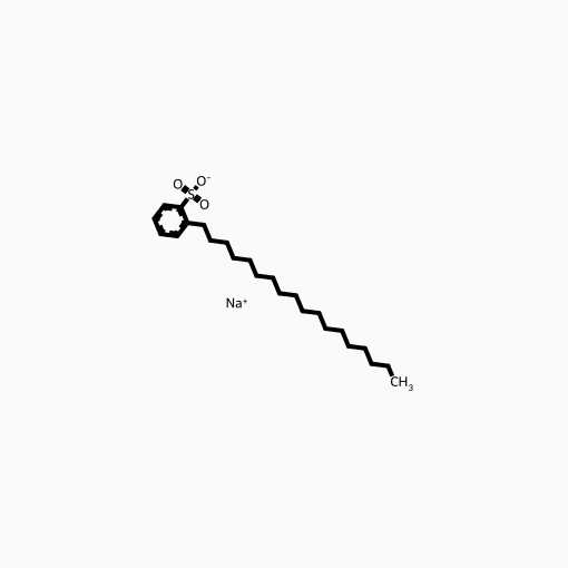 CCCCCCCCCCCCCCCCCCc1ccccc1S(=O)(=O)[O-].[Na+]